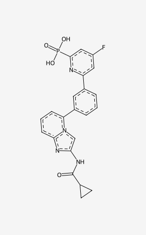 O=C(Nc1cn2c(-c3cccc(-c4cc(F)cc(P(=O)(O)O)n4)c3)cccc2n1)C1CC1